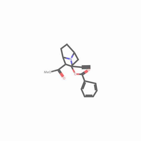 C#CCN1C2CCC1C(C(=O)OC)C(OC(=O)c1ccccc1)C2